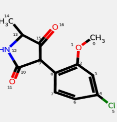 COc1cc(Cl)ccc1C1C(=O)NC(C)C1=O